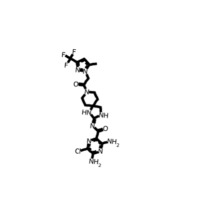 Cc1cc(C(F)(F)F)nn1CC(=O)N1CCC2(CC1)CN/C(=N\C(=O)c1nc(Cl)c(N)nc1N)N2